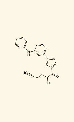 C#CCCC(CC)C(=O)c1ccc(-c2cccc(Nc3ccccc3)c2)s1